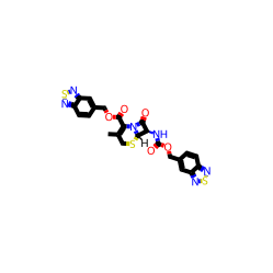 CC1=C(C(=O)OCc2ccc3nsnc3c2)N2C(=O)[C@@H](NC(=O)OCc3ccc4nsnc4c3)[C@H]2SC1